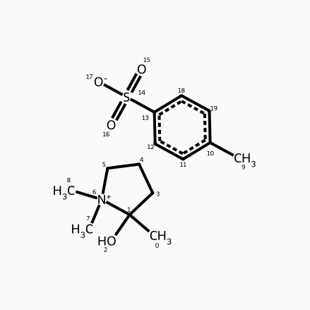 CC1(O)CCC[N+]1(C)C.Cc1ccc(S(=O)(=O)[O-])cc1